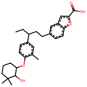 CCC(CCc1ccc2oc(C(=O)O)cc2c1)c1ccc(OC2CCCC(C)(C)C2O)c(C)c1